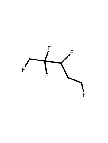 F[CH]CC(F)C(F)(F)CF